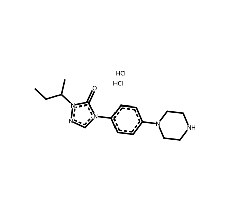 CCC(C)n1ncn(-c2ccc(N3CCNCC3)cc2)c1=O.Cl.Cl